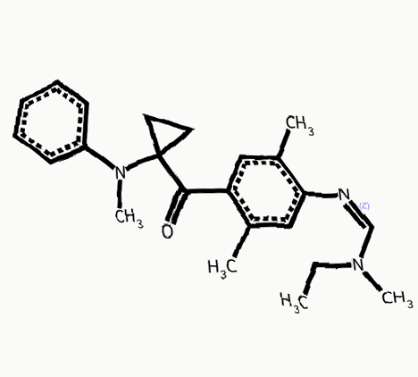 CCN(C)/C=N\c1cc(C)c(C(=O)C2(N(C)c3ccccc3)CC2)cc1C